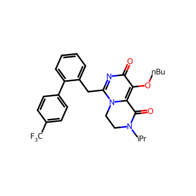 CCCCOc1c2n(c(Cc3ccccc3-c3ccc(C(F)(F)F)cc3)nc1=O)CCN(C(C)C)C2=O